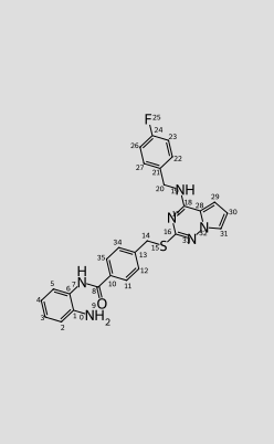 Nc1ccccc1NC(=O)c1ccc(CSc2nc(NCc3ccc(F)cc3)c3cccn3n2)cc1